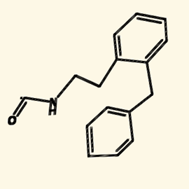 O=[C]NCCc1ccccc1Cc1ccccc1